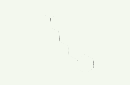 CC(C)CNCCCN1CCCCC1